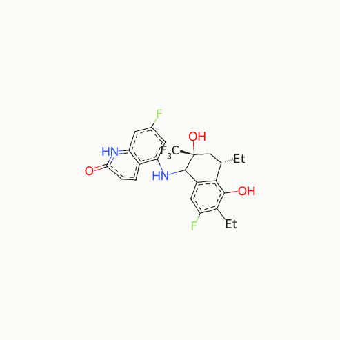 CCc1c(F)cc2c(c1O)[C@@H](CC)C[C@](O)(C(F)(F)F)C2Nc1cc(F)cc2[nH]c(=O)ccc12